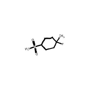 CC1(F)CCC(S(N)(=O)=O)CC1